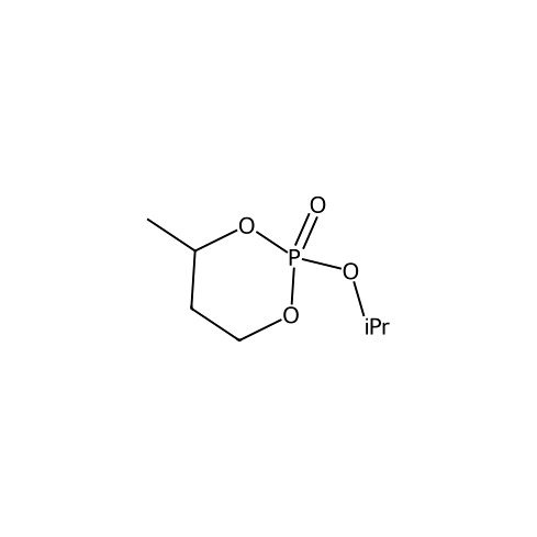 CC(C)OP1(=O)OCCC(C)O1